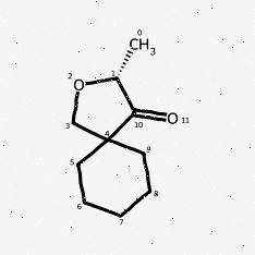 C[C@H]1OCC2(CCCCC2)C1=O